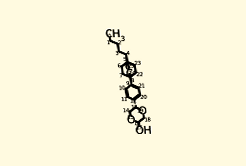 CCCCCC12CCC(c3ccc([C@H]4CO[C@H](O)CO4)cc3)(CC1)CC2